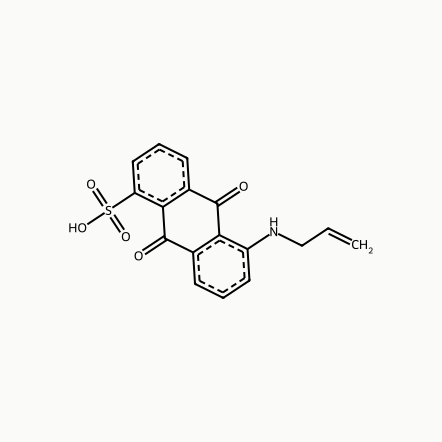 C=CCNc1cccc2c1C(=O)c1cccc(S(=O)(=O)O)c1C2=O